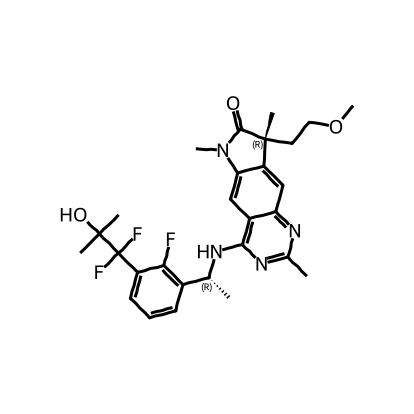 COCC[C@@]1(C)C(=O)N(C)c2cc3c(N[C@H](C)c4cccc(C(F)(F)C(C)(C)O)c4F)nc(C)nc3cc21